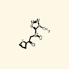 Cn1nnnc1[S+]([O-])CC(=O)c1cccs1